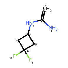 C=C(N)NC1CC(F)(F)C1